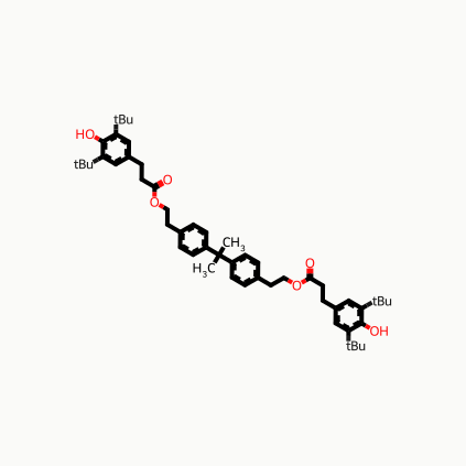 CC(C)(C)c1cc(CCC(=O)OCCc2ccc(C(C)(C)c3ccc(CCOC(=O)CCc4cc(C(C)(C)C)c(O)c(C(C)(C)C)c4)cc3)cc2)cc(C(C)(C)C)c1O